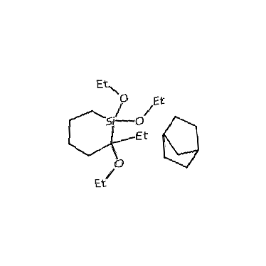 C1CC2CCC1C2.CCOC1(CC)CCCC[Si]1(OCC)OCC